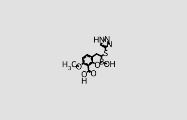 COc1ccc2c(c1C(=O)O)OB(O)C(Sc1c[nH]nn1)C2